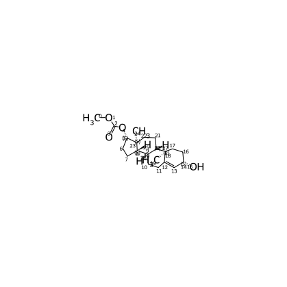 COC(=O)O[C@H]1CC[C@H]2[C@@H]3CCC4=C[C@@H](O)CC[C@]4(C)[C@H]3CC[C@]12C